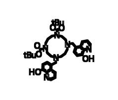 CC(C)(C)OC(=O)N1CCCN(C(=O)OC(C)(C)C)CCN(Cc2ccc(O)c3ncccc23)CCCN(Cc2ccc(O)c3ncccc23)CC1